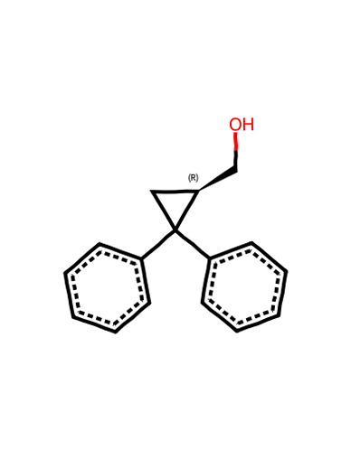 OC[C@@H]1CC1(c1ccccc1)c1ccccc1